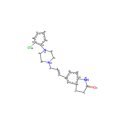 O=C1CCc2cc(C=CCN3CCN(c4ccccc4Cl)CC3)ccc2N1